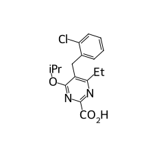 CCc1nc(C(=O)O)nc(OC(C)C)c1Cc1ccccc1Cl